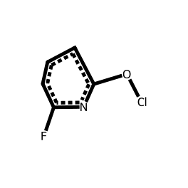 Fc1cccc(OCl)n1